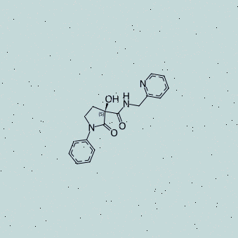 O=C(NCc1ccccn1)[C@@]1(O)CCN(c2ccccc2)C1=O